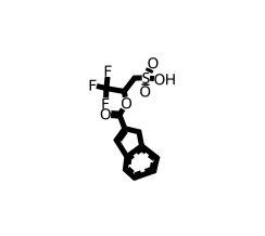 O=C(OC(CS(=O)(=O)O)C(F)(F)F)C1=Cc2ccccc2C1